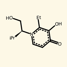 CCc1c(O)c(=O)ccn1[C@H](CO)C(C)C